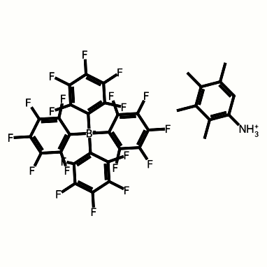 Cc1cc([NH3+])c(C)c(C)c1C.Fc1c(F)c(F)c([B-](c2c(F)c(F)c(F)c(F)c2F)(c2c(F)c(F)c(F)c(F)c2F)c2c(F)c(F)c(F)c(F)c2F)c(F)c1F